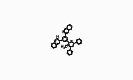 CN1C(c2cc(-c3cc4ccccc4cn3)cc(C3C=c4ccccc4=CN3)c2)=NC(c2ccccc2)=CC1c1ccccc1